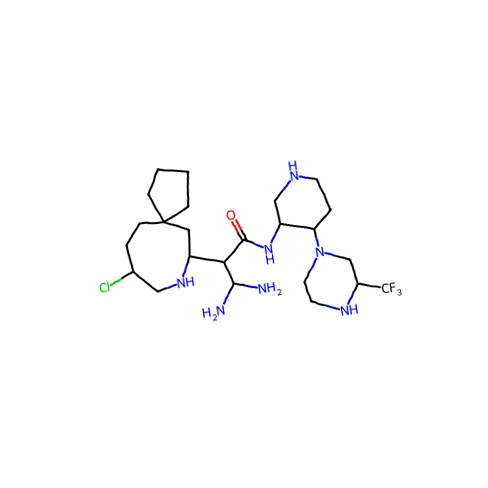 NC(N)C(C(=O)NC1CNCCC1N1CCNC(C(F)(F)F)C1)C1CC2(CCCC2)CCC(Cl)CN1